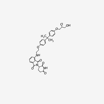 CC(C)(c1ccc(OCCNc2cccc3c2C(=O)N(C2CCC(=O)NC2=O)C3=O)cc1)c1ccc(OCC(Cl)CO)cc1